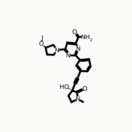 CN1CC[C@@](O)(C#Cc2cccc(-c3nc(C(N)=O)cc(N4CC[C@@H](OI)C4)n3)c2)C1=O